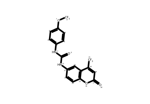 O=C(Nc1ccc(OC(F)(F)F)cc1)Nc1ccc2oc(=O)cc(C(F)(F)F)c2c1